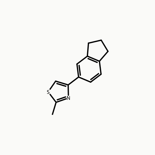 Cc1nc(-c2ccc3c(c2)CCC3)cs1